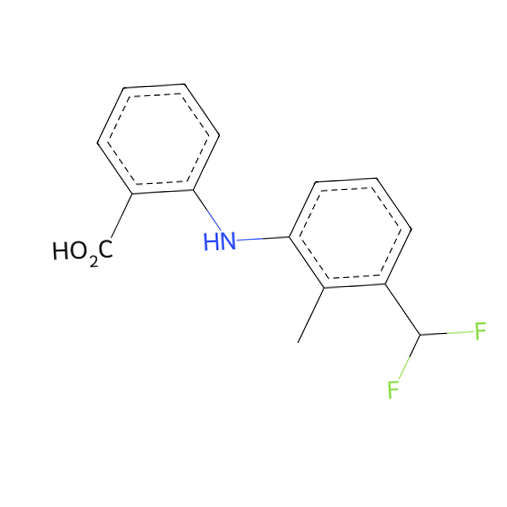 Cc1c(Nc2ccccc2C(=O)O)cccc1C(F)F